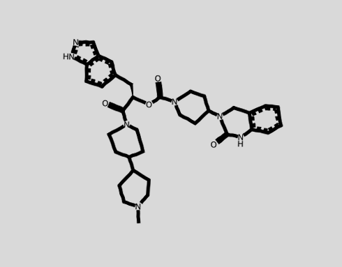 CN1CCC(C2CCN(C(=O)[C@@H](Cc3ccc4[nH]ncc4c3)OC(=O)N3CCC(N4Cc5ccccc5NC4=O)CC3)CC2)CC1